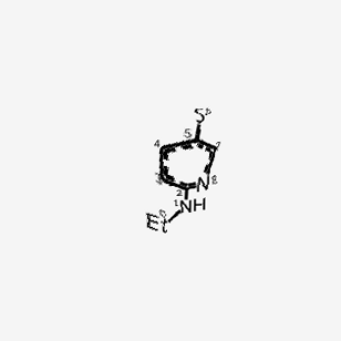 CCNc1ccc([S])cn1